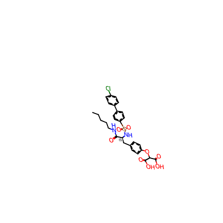 CCCCCNC(=O)[C@H](Cc1ccc(OC(C(=O)O)C(=O)O)cc1)NS(=O)(=O)c1ccc(-c2ccc(Cl)cc2)cc1